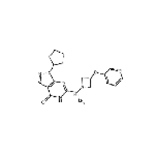 C[C@H](c1nc2c(cnn2C2CCCC2)c(=O)[nH]1)N1CC(Oc2cccnc2)C1